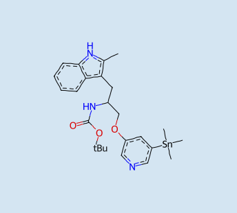 Cc1[nH]c2ccccc2c1CC(COc1cnc[c]([Sn]([CH3])([CH3])[CH3])c1)NC(=O)OC(C)(C)C